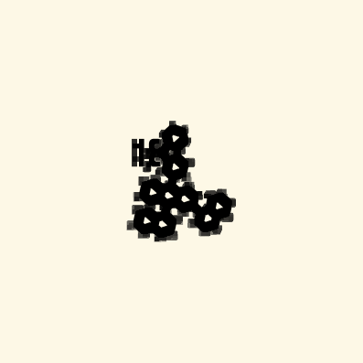 CC1(C)c2ccccc2-c2ccc(-c3c4ccccc4c(-c4cccc5ccccc45)c4cc(-c5cccc6ccccc56)ccc34)cc21